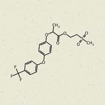 CC(Oc1ccc(Oc2ccc(C(F)(F)F)cc2)cc1)C(=O)OCCS(C)(=O)=O